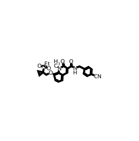 CCS(=O)(=O)C1(COc2cccc3cc(C(=O)NCc4ccc(C#N)cc4)c(=O)n(C)c23)CC1